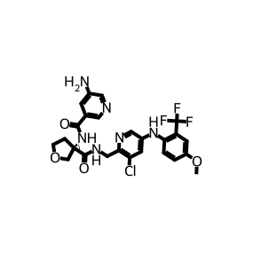 COc1ccc(Nc2cnc(CNC(=O)[C@]3(NC(=O)c4cncc(N)c4)CCOC3)c(Cl)c2)c(C(F)(F)F)c1